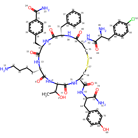 CC(O)C1NC(=O)[C@H](CCCCN)NC(=O)[C@@H](Cc2ccc(C(N)=O)cc2)NC(=O)[C@H](Cc2ccccc2)NC(=O)[C@H](NC(=O)[C@@H](N)Cc2ccc(Cl)cc2)CSSC[C@@H](C(=O)NC(Cc2ccc(O)cc2)C(N)=O)NC1=O